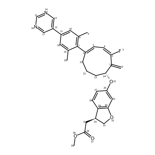 C=C1/C(F)=C\C=C(\c2c(C)cc(-c3cncnc3)cc2C)CCC[C@H]1Oc1ccc2c(c1)OC[C@H]2CC(=O)OC